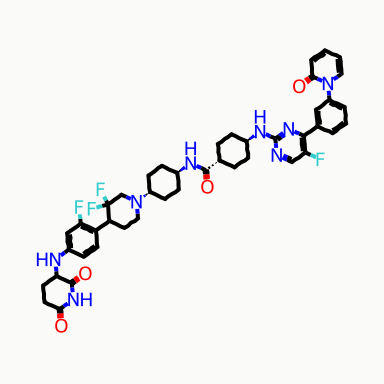 O=C1CCC(Nc2ccc(C3CCN([C@H]4CC[C@H](NC(=O)[C@H]5CC[C@H](Nc6ncc(F)c(-c7cccc(-n8ccccc8=O)c7)n6)CC5)CC4)CC3(F)F)c(F)c2)C(=O)N1